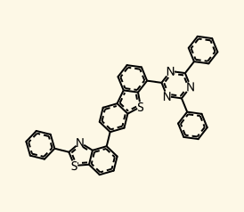 c1ccc(-c2nc(-c3ccccc3)nc(-c3cccc4c3sc3cc(-c5cccc6sc(-c7ccccc7)nc56)ccc34)n2)cc1